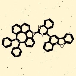 c1ccc(C2=C(c3ccccc3)c3cccc4c3c3c5c2cccc5ccc3n4-c2nc(-c3cc4c5ccccc5oc4c4ccccc34)c3ccccc3n2)cc1